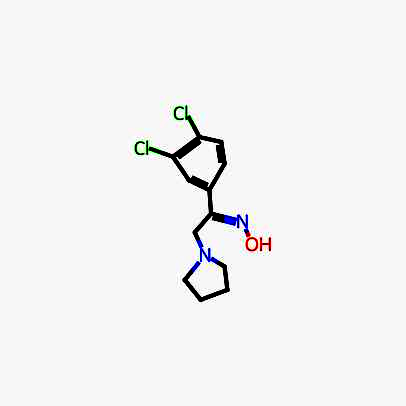 ON=C(CN1CCCC1)c1ccc(Cl)c(Cl)c1